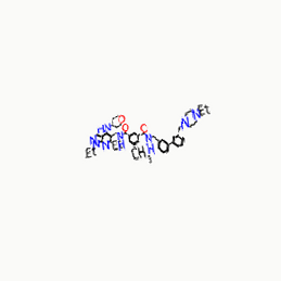 CCc1nc2c(cnn2CC)c(NC2CCOCC2)c1CNC(=O)c1cc(C)cc(C(=O)NCc2cccc(-c3cccc(CN4CCN(CC)CC4)c3)c2)c1